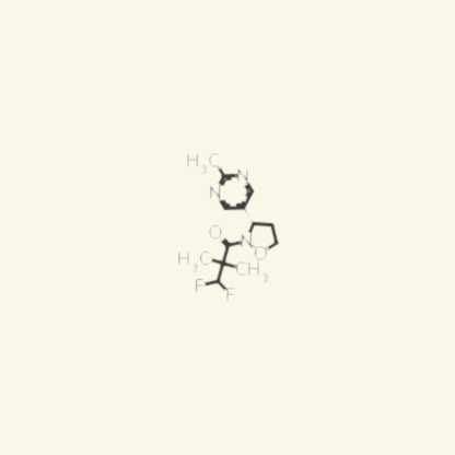 Cc1ncc([C@@H]2CCON2C(=O)C(C)(C)C(F)F)cn1